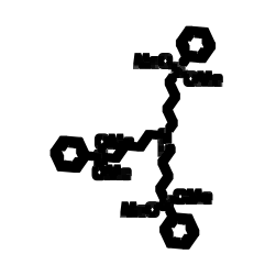 CO[Si](CCCC[SiH](CCCC[Si](OC)(OC)c1ccccc1)CCCC[Si](OC)(OC)c1ccccc1)(OC)c1ccccc1